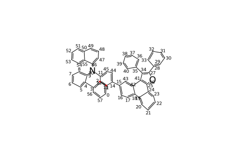 c1ccc(-c2ccccc2N(c2ccc(-c3ccc4c5ccccc5c5oc(-c6ccccc6)c(-c6ccccc6)c5c4c3)cc2)c2cccc3ccccc23)cc1